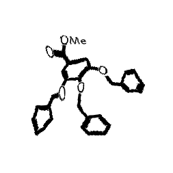 COC(=O)c1cc(OCc2ccccc2)c(OCc2ccccc2)c(OCc2ccccc2)c1